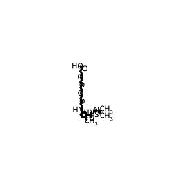 Cc1ccc(NCCOCCOCCOCCOCCC(=O)O)cc1C(=O)Nc1nc(C)c(C)s1